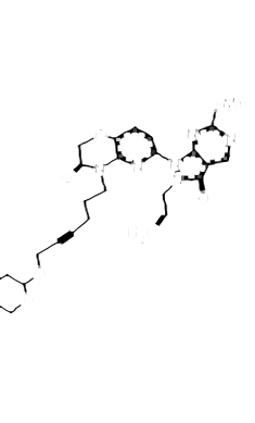 C=CCn1c(=O)c2cnc(SC)nc2n1-c1ccc2c(n1)N(CCCC#CCOC1CCCCO1)C(=O)CO2